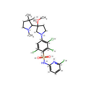 COC1(C2N(C)CCC2(C)C)CCN(c2cc(F)c(S(=O)(=O)Nc3cccc(F)n3)c(F)c2Cl)C1